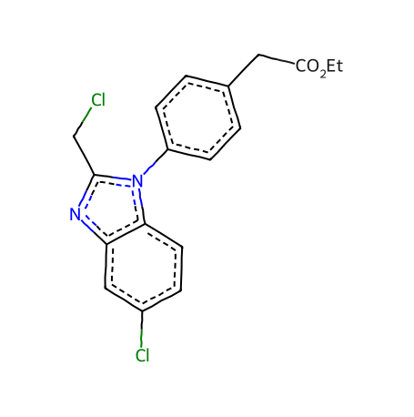 CCOC(=O)Cc1ccc(-n2c(CCl)nc3cc(Cl)ccc32)cc1